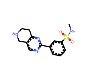 CNS(=O)(=O)c1cccc(-c2ncc3c(n2)CCNC3)c1